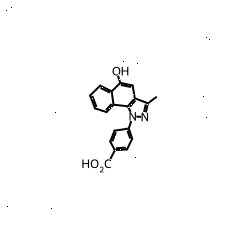 Cc1nn(-c2ccc(C(=O)O)cc2)c2c1cc(O)c1ccccc12